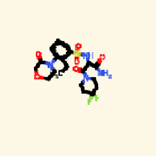 CCc1c(N2CCOCC2=O)cccc1S(=O)(=O)N[C@@H](C(N)=O)C(=O)N1CCC(F)(F)CC1